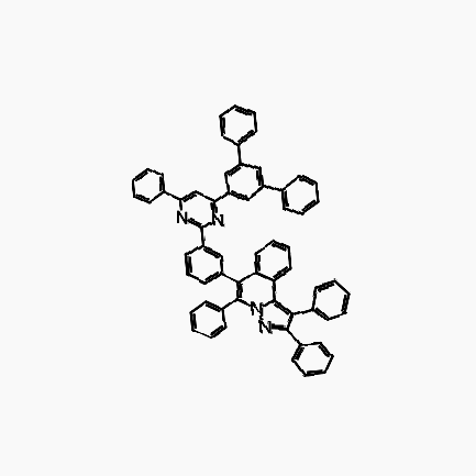 c1ccc(-c2cc(-c3ccccc3)cc(-c3cc(-c4ccccc4)nc(-c4cccc(-c5c(-c6ccccc6)n6nc(-c7ccccc7)c(-c7ccccc7)c6c6ccccc56)c4)n3)c2)cc1